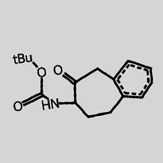 CC(C)(C)OC(=O)NC1CCc2ccccc2CC1=O